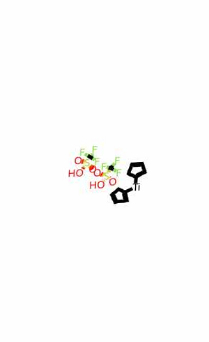 C1=CC[C]([Ti][C]2=CC=CC2)=C1.O=S(=O)(O)C(F)(F)F.O=S(=O)(O)C(F)(F)F